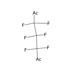 CC(=O)C(F)(F)C(F)(F)C(F)(F)C(C)=O